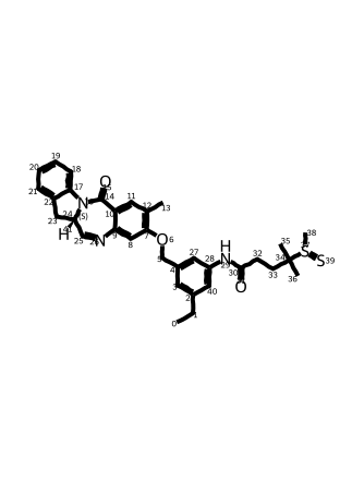 CCc1cc(COc2cc3c(cc2C)C(=O)N2c4ccccc4C[C@H]2C=N3)cc(NC(=O)CCC(C)(C)S(C)=S)c1